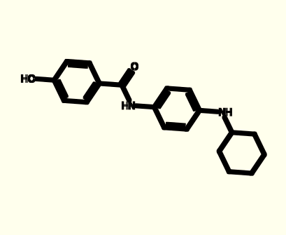 O=C(Nc1ccc(NC2CCCCC2)cc1)c1ccc(O)cc1